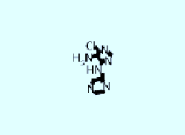 Nc1c(Cl)ncnc1NCc1cnccn1